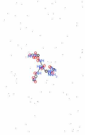 Nc1ncc(-c2ccc(CCNC(=O)C(CCCCNC(=O)COc3cccc4c3C(=O)N(C3CCC(=O)NC3=O)C4=O)NC(=O)CCCCCNC(=O)C3CCC(CN4C(=O)C=CC4=O)CC3)cc2)nc1C(=O)Nc1cnccc1N1CCOCC1